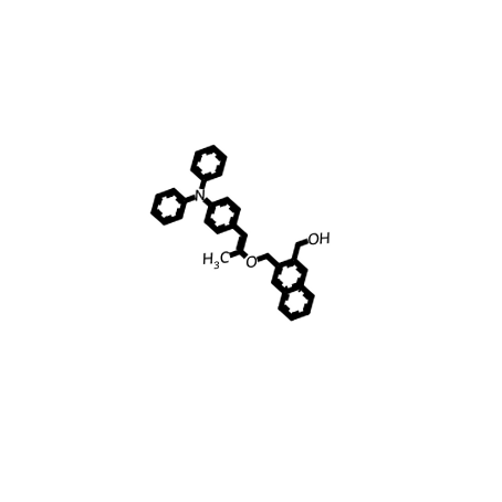 CC(=Cc1ccc(N(c2ccccc2)c2ccccc2)cc1)OCc1cc2ccccc2cc1CO